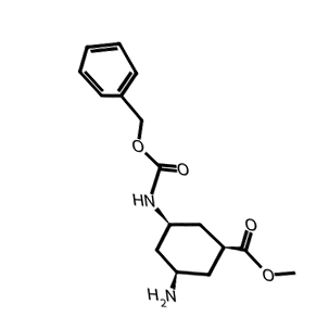 COC(=O)[C@H]1C[C@@H](N)C[C@@H](NC(=O)OCc2ccccc2)C1